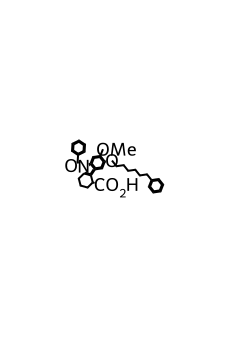 COc1cc2c(cc1OCCCCCCc1ccccc1)c1c(n2C(=O)c2ccccc2)CCCC1C(=O)O